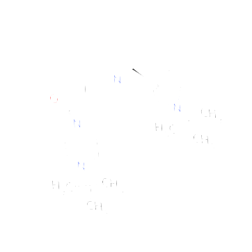 CC(C)(C)N1CCN(C(=O)C2CCN(C[C@H]3CCN(C(C)(C)C)C3)CC2)CC1